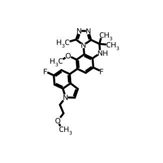 COCCn1ccc2c(-c3cc(F)c4c(c3OC)-n3c(C)nnc3C(C)(C)N4)cc(F)cc21